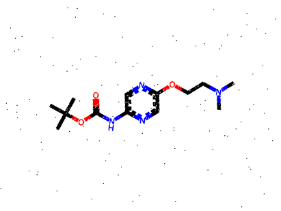 CN(C)CCOc1cnc(NC(=O)OC(C)(C)C)cn1